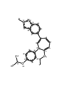 CCOC1=CC=CC(c2ccc3nn(C)cc3c2)=CN1c1ccc(OC(F)F)cc1